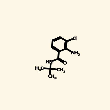 CC(C)(C)NC(=O)c1cccc(Cl)c1N